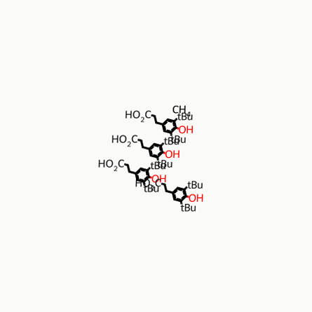 C.CC(C)(C)c1cc(CCC(=O)O)cc(C(C)(C)C)c1O.CC(C)(C)c1cc(CCC(=O)O)cc(C(C)(C)C)c1O.CC(C)(C)c1cc(CCC(=O)O)cc(C(C)(C)C)c1O.CC(C)(C)c1cc(CCC(=O)O)cc(C(C)(C)C)c1O